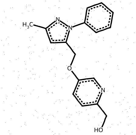 Cc1cc(COc2ccc(CO)nc2)n(-c2ccccc2)n1